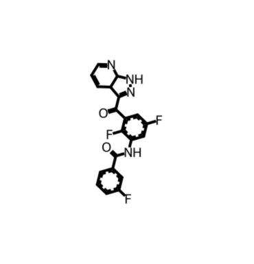 O=C(Nc1cc(F)cc(C(=O)C2=NNC3N=CC=CC23)c1F)c1cccc(F)c1